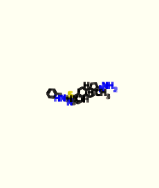 C[C@]12CCc3nc(NCc4ccccc4)sc3C1=CC[C@@H]1[C@@H]2CC[C@]2(C)/C(=N/N)CC[C@@H]12